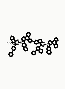 CC1(C)c2ccccc2-c2nc(-n3c4cc5ccccc5cc4c4c5c(ccc43)c3ccccc3c3cc(-c4ccc6c(ccc7nc(-n8c9cc%10ccccc%10cc9c9c%10c%11ccccc%11c%11ccccc%11c%10ccc98)nc(-c8ccc(-c9ccccc9)c9ccccc89)c76)c4)ccc35)nc(-c3ccc(-c4ccccc4)cc3)c21